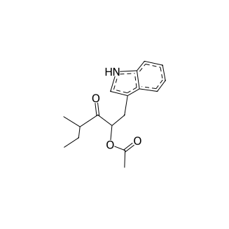 CCC(C)C(=O)C(Cc1c[nH]c2ccccc12)OC(C)=O